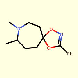 CCC1=NOC2(CCC(C)N(C)CC2)O1